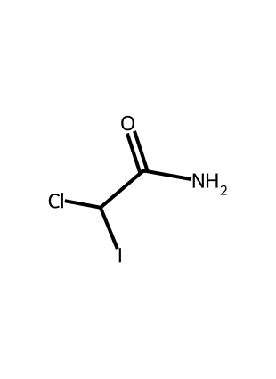 NC(=O)C(Cl)I